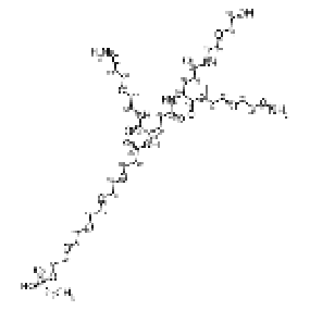 CCP(=O)(O)OCCOCCOCCOCCOCCC(=O)NC(CCC(=O)NC(CCC(=O)NCCOCCO)C(=O)NCCOCCON)C(=O)NCCOCCON